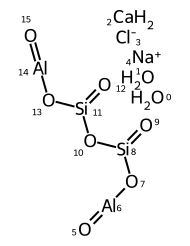 O.O.[CaH2].[Cl-].[Na+].[O]=[Al][O][Si](=O)O[Si](=O)[O][Al]=[O]